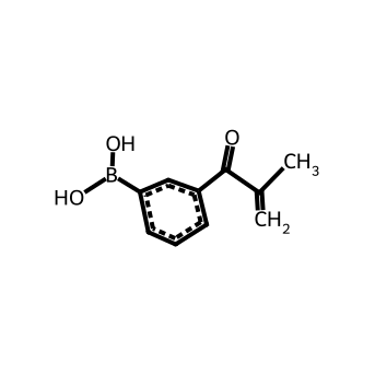 C=C(C)C(=O)c1cccc(B(O)O)c1